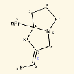 CCCC12CCCN1C/C(=C/F)C2